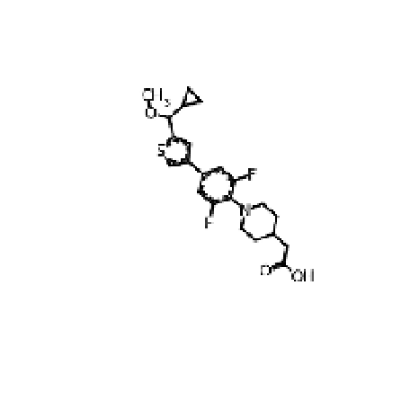 COC(c1cc(-c2cc(F)c(N3CCC(CC(=O)O)CC3)c(F)c2)cs1)C1CC1